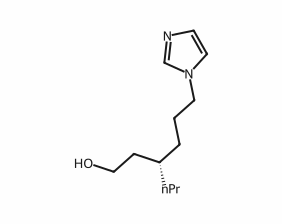 CCC[C@H](CCO)CCCn1ccnc1